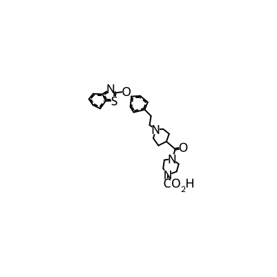 O=C(O)N1CCN(C(=O)C2CCN(CCc3ccc(Oc4nc5ccccc5s4)cc3)CC2)CC1